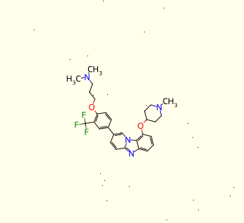 CN(C)CCCOc1ccc(-c2ccc3nc4cccc(OC5CCN(C)CC5)c4n3c2)cc1C(F)(F)F